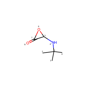 CC(C)(C)NC1OC1=O